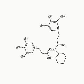 CC(C)(C)c1cc(CCC(=O)NC2CCCCC2NC(=O)CCc2cc(C(C)(C)C)c(O)c(C(C)(C)C)c2)cc(C(C)(C)C)c1O